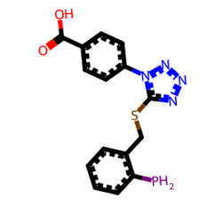 O=C(O)c1ccc(-n2nnnc2SCc2ccccc2P)cc1